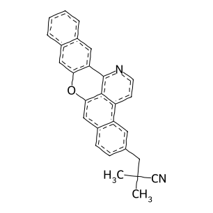 CC(C)(C#N)Cc1ccc2cc3c4c(nccc4c2c1)-c1cc2ccccc2cc1O3